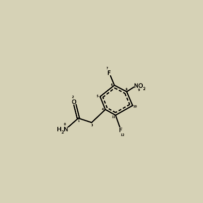 NC(=O)Cc1cc(F)c([N+](=O)[O-])cc1F